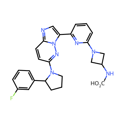 O=C(O)NC1CN(c2cccc(-c3cnc4ccc(N5CCCC5c5cccc(F)c5)nn34)n2)C1